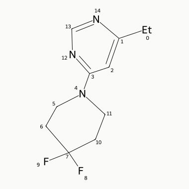 CCc1cc(N2CCC(F)(F)CC2)ncn1